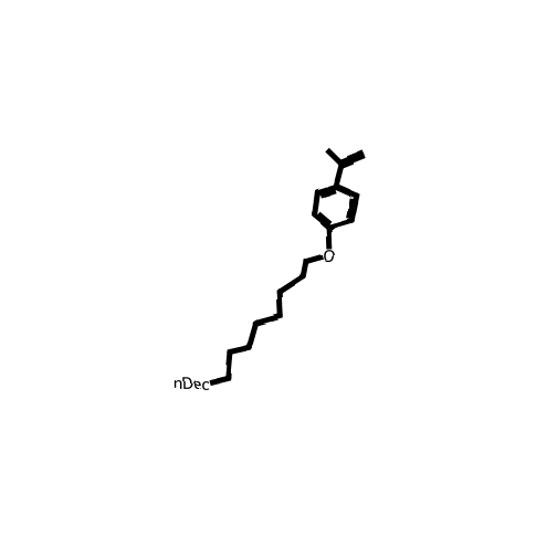 C=C(C)c1ccc(OCCCCCCCCCCCCCCCCCC)cc1